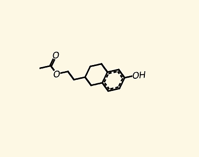 CC(=O)OCCC1CCc2cc(O)ccc2C1